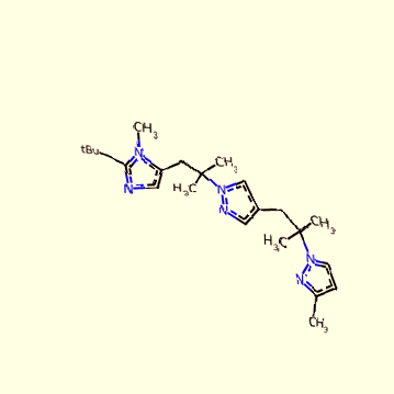 Cc1ccn(C(C)(C)Cc2cnn(C(C)(C)Cc3cnc(C(C)(C)C)n3C)c2)n1